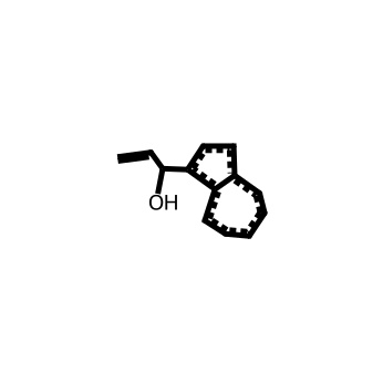 C=CC(O)c1ccc2cccccc1-2